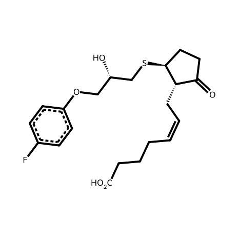 O=C(O)CCC/C=C\C[C@H]1C(=O)CC[C@@H]1SC[C@@H](O)COc1ccc(F)cc1